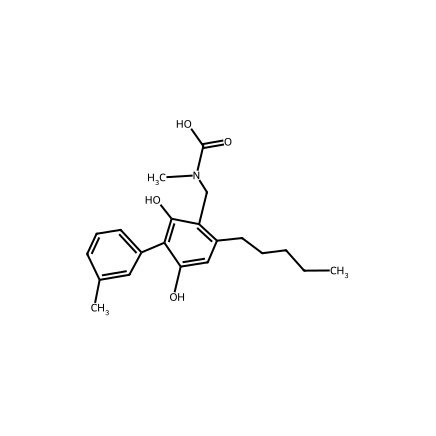 CCCCCc1cc(O)c(-c2cccc(C)c2)c(O)c1CN(C)C(=O)O